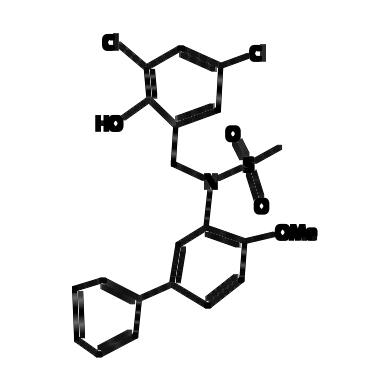 COc1ccc(-c2ccccc2)cc1N(Cc1cc(Cl)cc(Cl)c1O)S(C)(=O)=O